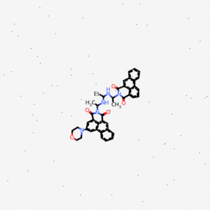 CCC(NC(C)N1C(=O)c2cccc3c2c(cc2ccccc23)C1=O)NC(C)N1C(=O)c2cc(N3CCOCC3)cc3c2c(cc2ccccc23)C1=O